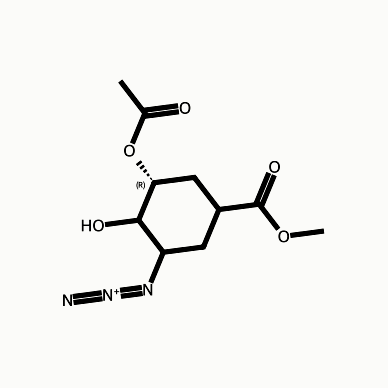 COC(=O)C1CC(N=[N+]=[N-])C(O)[C@H](OC(C)=O)C1